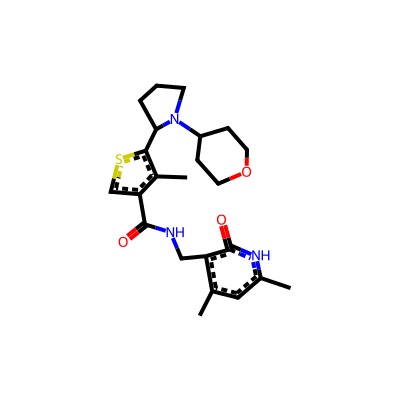 Cc1cc(C)c(CNC(=O)c2csc(C3CCCN3C3CCOCC3)c2C)c(=O)[nH]1